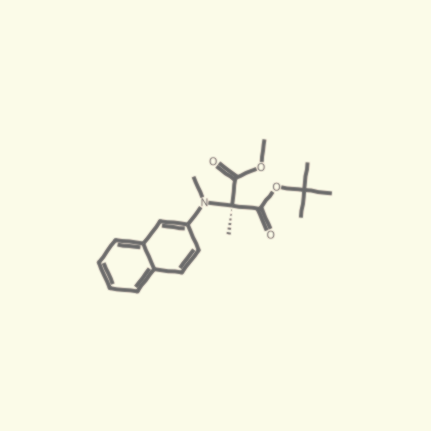 COC(=O)[C@@](C)(C(=O)OC(C)(C)C)N(C)c1ccc2ccccc2c1